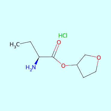 CC[C@H](N)C(=O)OC1CCOC1.Cl